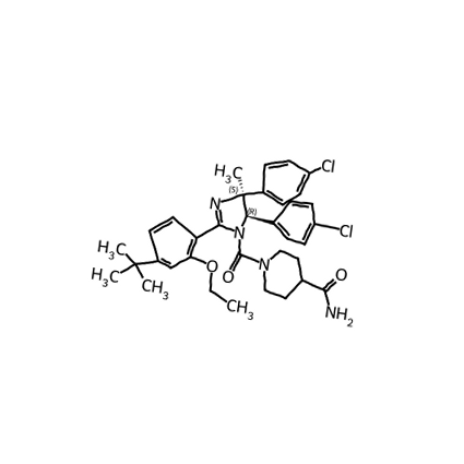 CCOc1cc(C(C)(C)C)ccc1C1=N[C@@](C)(c2ccc(Cl)cc2)[C@@H](c2ccc(Cl)cc2)N1C(=O)N1CCC(C(N)=O)CC1